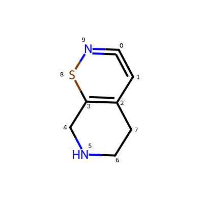 C1=CC2=C(CNCC2)SN=1